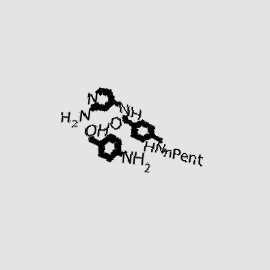 CCCCCNCc1ccc(C(=O)Nc2ccnc(N)c2)cc1.Nc1ccc(CO)cc1